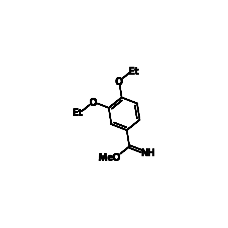 CCOc1ccc(C(=N)OC)cc1OCC